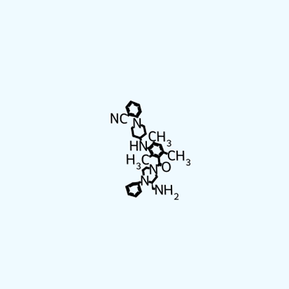 Cc1cc(C)c(C(=O)N2CCN(c3ccccc3)[C@H](CN)C2)c(C)c1NC1CCN(c2ccccc2C#N)CC1